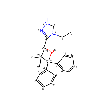 CCN1CNN=C1CO[Si](c1ccccc1)(c1ccccc1)C(C)(C)C